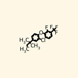 CCC(C)(C)c1ccc(Oc2cccc(C(F)(F)F)c2F)c(Cl)c1